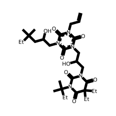 C=CCn1c(=O)n(CC(O)CN2C(=O)N(C(C)(C)CC)C(=O)C(CC)(CC)C2=O)c(=O)n(CC(O)CC(C)(C)CC)c1=O